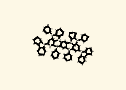 c1ccc(N2c3ccccc3B3c4cc5c(cc4N(c4ccccc4)c4cc(-n6c7ccccc7c7ccccc76)cc2c43)N(c2ccccc2)c2nc(-n3c4ccccc4c4ccccc43)cc3c2B5c2ccccc2N3c2ccccc2)cc1